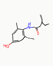 C=C(C)C(=O)Nc1c(C)cc(O)cc1C